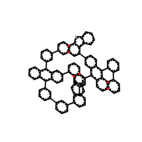 c1ccc(-c2cccc(-c3c4ccccc4c(-c4cccc(-c5cccc(-c6cccc(-c7cccc(-c8c9ccccc9c(-c9ccccc9-c9ccccc9)c9ccc(-c%10cccc%11sc%12ccccc%12c%10%11)cc89)c7)c6)c5)c4)c4ccc(-c5cccc6sc7ccccc7c56)cc34)c2)cc1